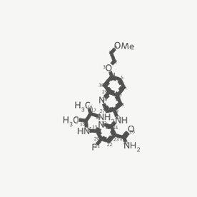 COCCOc1ccc2cc(Nc3nc(NC(C)C(C)N)c(F)cc3C(N)=O)cnc2c1